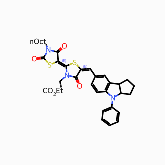 CCCCCCCCN1C(=O)S/C(=c2/s/c(=C/c3ccc4c(c3)C3CCCC3N4c3ccccc3)c(=O)n2CC(=O)OCC)C1=O